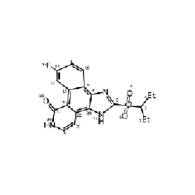 CCC(CC)S(=O)(=O)c1nc2c3ccc(F)cc3c3c(=O)[nH]ccc3c2[nH]1